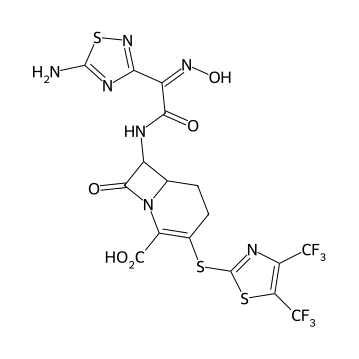 Nc1nc(/C(=N/O)C(=O)NC2C(=O)N3C(C(=O)O)=C(Sc4nc(C(F)(F)F)c(C(F)(F)F)s4)CCC23)ns1